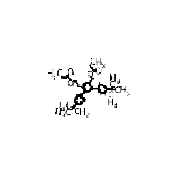 C=CC(=O)OCCc1cc(COC(=O)CC)c(-c2ccc(C(C)(C)C)cc2)cc1-c1ccc(C(C)(C)C)cc1